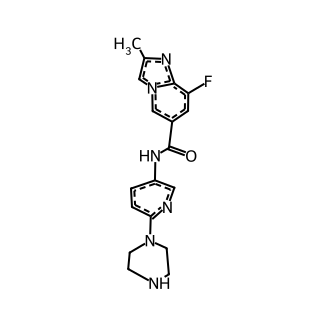 Cc1cn2cc(C(=O)Nc3ccc(N4CCNCC4)nc3)cc(F)c2n1